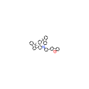 CC1(C)c2ccccc2-c2cccc(-c3ccc(N(c4cccc(-c5ccc6c(c5)oc5ccccc56)c4)c4ccc5c(c4)C(C)(c4ccccc4)c4ccccc4-5)cc3)c21